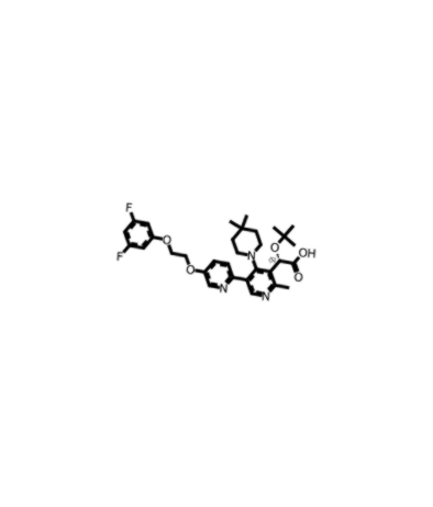 Cc1ncc(-c2ccc(OCCOc3cc(F)cc(F)c3)cn2)c(N2CCC(C)(C)CC2)c1[C@H](OC(C)(C)C)C(=O)O